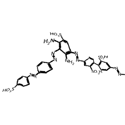 CN=Nc1ccc(-c2ccc(N=Nc3cc(S(=O)(=O)O)c(N)c(N=Nc4ccc(N=Nc5ccc(S(=O)(=O)O)cc5)cc4)c3N)cc2S(=O)(=O)O)c(S(=O)(=O)O)c1